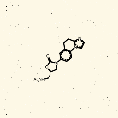 CC(=O)NC[C@H]1CN(c2ccc3c(c2)CCc2nccn2-3)C(=O)O1